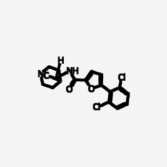 O=C(N[C@H]1CN2CCC1CC2)c1ccc(-c2c(Cl)cccc2Cl)o1